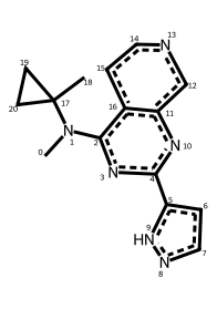 CN(c1nc(-c2ccn[nH]2)nc2cnccc12)C1(C)CC1